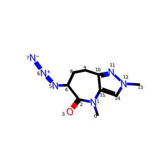 CN1C(=O)C(N=[N+]=[N-])CCc2nn(C)cc21